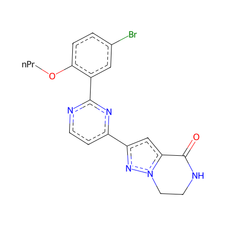 CCCOc1ccc(Br)cc1-c1nccc(-c2cc3n(n2)CCNC3=O)n1